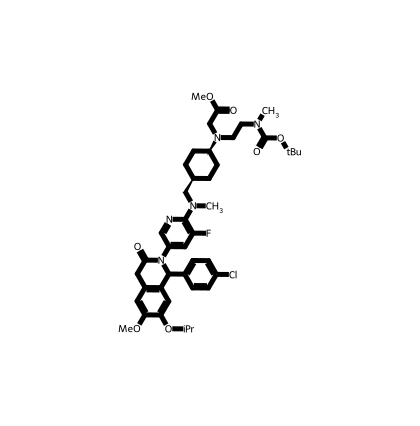 COC(=O)CN(CCN(C)C(=O)OC(C)(C)C)[C@H]1CC[C@@H](CN(C)c2ncc(N3C(=O)Cc4cc(OC)c(OC(C)C)cc4C3c3ccc(Cl)cc3)cc2F)CC1